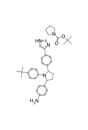 CC(C)(C)OC(=O)N1CCC[C@H]1c1nc(-c2ccc(C3CCC(c4ccc(N)cc4)N3c3ccc(C(C)(C)C)cc3)cc2)c[nH]1